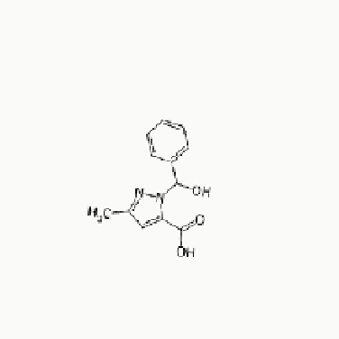 Cc1cc(C(=O)O)n(C(O)c2ccccc2)n1